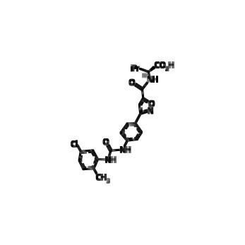 Cc1ccc(Cl)cc1NC(=O)Nc1ccc(-c2cc(C(=O)N[C@H](C(=O)O)C(C)C)on2)cc1